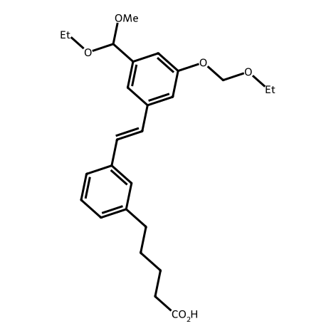 CCOCOc1cc(C=Cc2cccc(CCCCC(=O)O)c2)cc(C(OC)OCC)c1